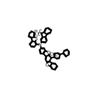 CC1(C)c2ccccc2-c2ccc(N(c3ccc4c(c3)OC3(C)C4=Cc4oc5ccccc5c4C3c3ccc(-c4ccccc4)cc3)c3cccc4c3sc3ccccc34)cc21